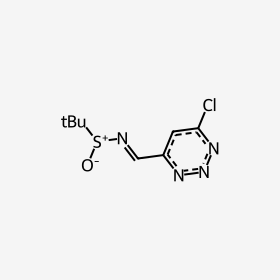 CC(C)(C)[S+]([O-])/N=C/c1cc(Cl)nnn1